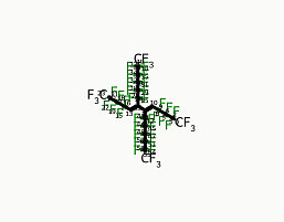 FC(F)(F)C(F)(F)C(F)(F)C(F)(F)C=C(C(=CC(F)(F)C(F)(F)C(F)(F)C(F)(F)F)C(F)(F)C(F)(F)C(F)(F)C(F)(F)C(F)(F)C(F)(F)F)C(F)(F)C(F)(F)C(F)(F)C(F)(F)C(F)(F)C(F)(F)F